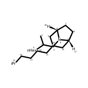 CCCCCCC(C)CN1[C@@H]2CC[C@H]1CN(CCCCC(C)C)C2